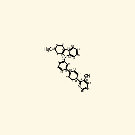 CC1C=Cc2c(n(-c3cccc(C4=CCC(c5ncccc5C#N)C=C4)c3)c3ccccc23)C1